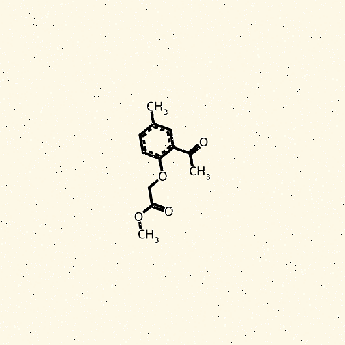 COC(=O)COc1ccc(C)cc1C(C)=O